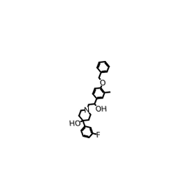 Cc1cc(C(O)CN2CCC(O)(c3cccc(F)c3)CC2)ccc1OCc1ccccc1